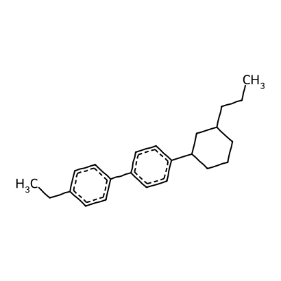 CCCC1CCCC(c2ccc(-c3ccc(CC)cc3)cc2)C1